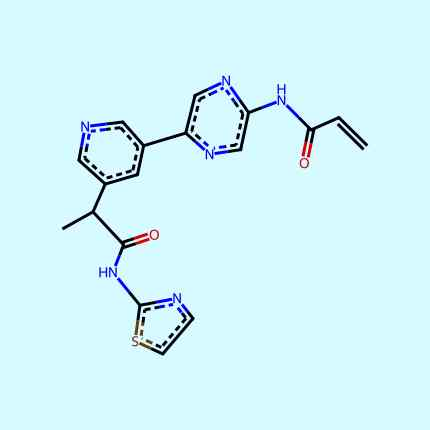 C=CC(=O)Nc1cnc(-c2cncc(C(C)C(=O)Nc3nccs3)c2)cn1